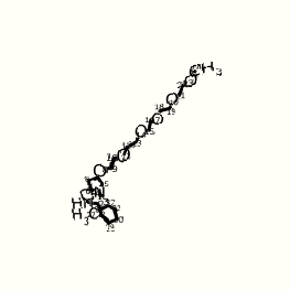 CN[C@H](CN1CC[C@H](OCCOCCOCCOCCOCCOC)C1)C1(C)C=CC=CC1